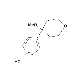 COC1(c2ccc(O)cc2)CCOCC1